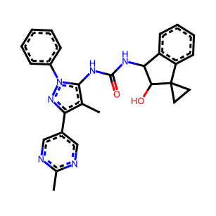 Cc1ncc(-c2nn(-c3ccccc3)c(NC(=O)NC3c4ccccc4C4(CC4)C3O)c2C)cn1